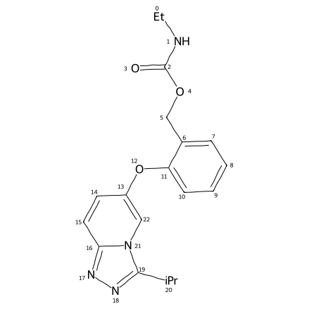 CCNC(=O)OCc1ccccc1Oc1ccc2nnc(C(C)C)n2c1